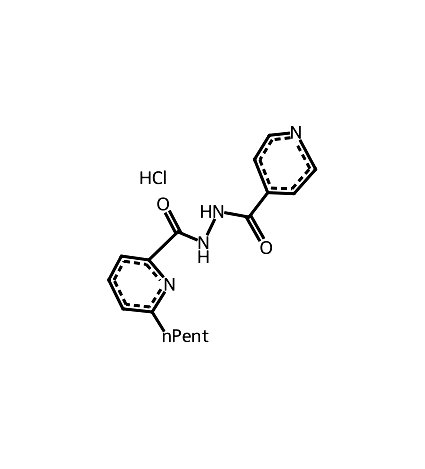 CCCCCc1cccc(C(=O)NNC(=O)c2ccncc2)n1.Cl